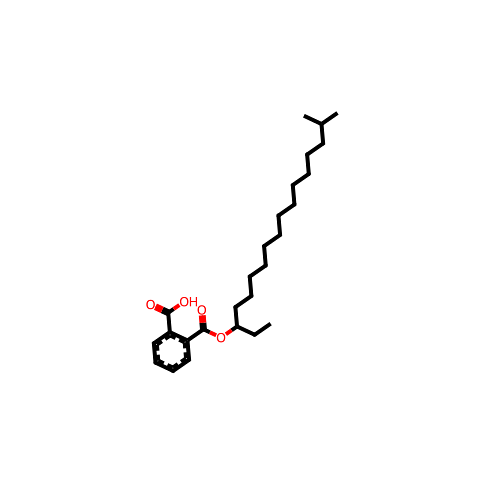 CCC(CCCCCCCCCCCCC(C)C)OC(=O)c1ccccc1C(=O)O